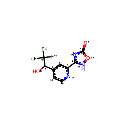 O=c1nc(-c2cc(C(O)C(F)(F)F)ccn2)[nH]o1